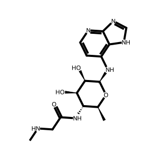 CNCC(=O)N[C@@H]1[C@@H](O)[C@@H](O)[C@@H](Nc2ccnc3nc[nH]c23)O[C@H]1C